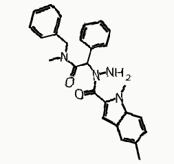 CC1=CC2C=C(C(=O)N(N)C(C(=O)N(C)Cc3ccccc3)c3ccccc3)N(C)C2C=C1